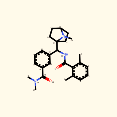 Cc1cccc(C)c1C(=O)NC(c1cccc(C(=O)N(C)C)c1)C12CCC(CC1)N2C